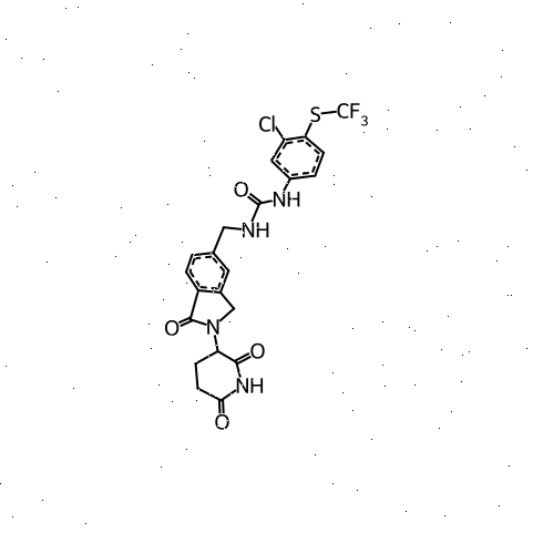 O=C1CCC(N2Cc3cc(CNC(=O)Nc4ccc(SC(F)(F)F)c(Cl)c4)ccc3C2=O)C(=O)N1